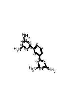 Nc1nc(N)nc(-c2cccc(-c3nc(N)nc(N)n3)c2)n1